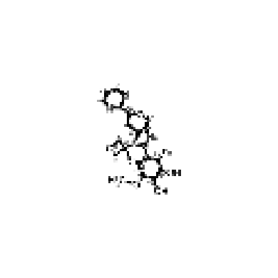 COc1cc(-c2nc3ccc(-c4ncccn4)cc3n2C2(C)COC2)c(F)c(O)c1O